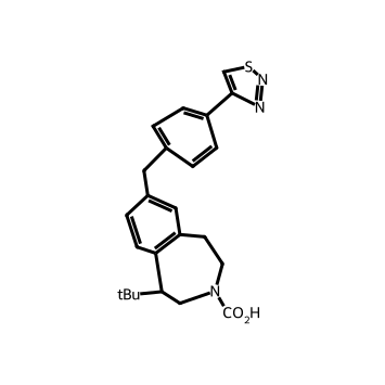 CC(C)(C)C1CN(C(=O)O)CCc2cc(Cc3ccc(-c4csnn4)cc3)ccc21